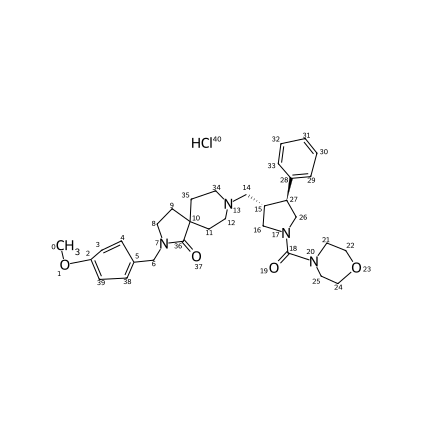 COc1ccc(CN2CCC3(CCN(C[C@H]4CN(C(=O)N5CCOCC5)C[C@@H]4c4ccccc4)CC3)C2=O)cc1.Cl